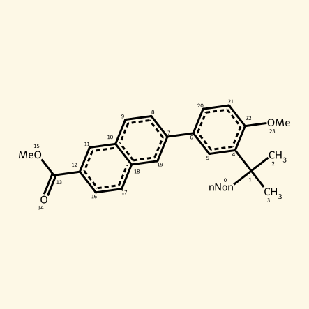 CCCCCCCCCC(C)(C)c1cc(-c2ccc3cc(C(=O)OC)ccc3c2)ccc1OC